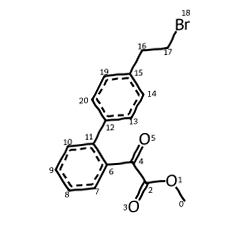 COC(=O)C(=O)c1ccccc1-c1ccc(CCBr)cc1